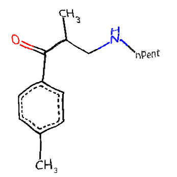 CCCCCNCC(C)C(=O)c1ccc(C)cc1